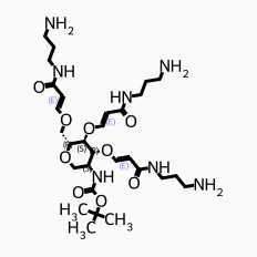 CC(C)(C)OC(=O)N[C@H]1CO[C@H](CO/C=C/C(=O)NCCCN)[C@@H](O/C=C/C(=O)NCCCN)[C@@H]1O/C=C/C(=O)NCCCN